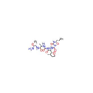 CC(C)CCC(=O)N(C)C(=O)N(C)C(=O)N(C)[C@H](C(=O)NC(=O)N[C@H](C)C(=O)N(C)[C@@H](CC(C)C)C(N)=O)[C@@H]1OCC[C@H]1C